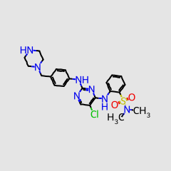 CN(C)S(=O)(=O)c1ccccc1Nc1nc(Nc2ccc(CN3CCNCC3)cc2)ncc1Cl